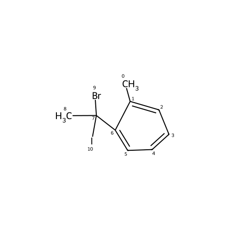 Cc1ccccc1C(C)(Br)I